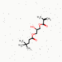 C=C(C)C(=O)OCC(O)COC(=O)CCC(C)(C)C